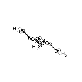 C=CC(=O)OCCCCCCOc1ccc(C(=O)Oc2cc(OC)c(OC(=O)c3ccc(OCCCCCCOC(=O)C=C)cc3)cc2C=O)cc1